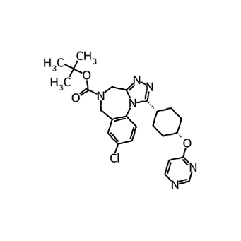 CC(C)(C)OC(=O)N1Cc2cc(Cl)ccc2-n2c(nnc2[C@H]2CC[C@@H](Oc3ccncn3)CC2)C1